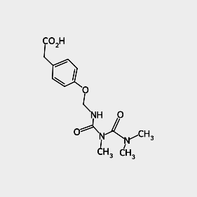 CN(C)C(=O)N(C)C(=O)NCOc1ccc(CC(=O)O)cc1